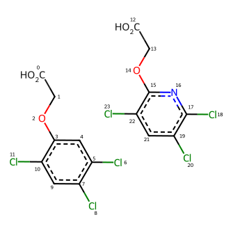 O=C(O)COc1cc(Cl)c(Cl)cc1Cl.O=C(O)COc1nc(Cl)c(Cl)cc1Cl